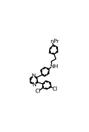 CCCc1ccc(CCNc2ccc(-c3nccnc3-c3ccc(Cl)cc3Cl)cc2)cc1